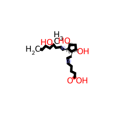 C=CCCC(C)(O)C/C=C/[C@@H]1[C@@H](C/C=C\CCCC(=O)O)[C@@H](O)C[C@H]1O